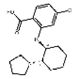 O=C(O)c1ccc(Cl)cc1N[C@H]1CCCC[C@@H]1N1CCCC1